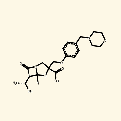 C[C@@H](O)[C@H]1C(=O)N2CC(COc3ccc(CN4CCOCC4)cc3)(C(=O)O)S[C@H]12